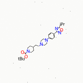 CC(C)c1nc(-c2ccc(N3CCN(CCC4CCN(C(=O)OC(C)(C)C)CC4)CC3)cc2)no1